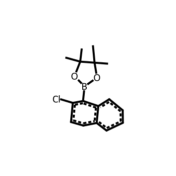 CC1(C)OB(c2c(Cl)ccc3ccccc23)OC1(C)C